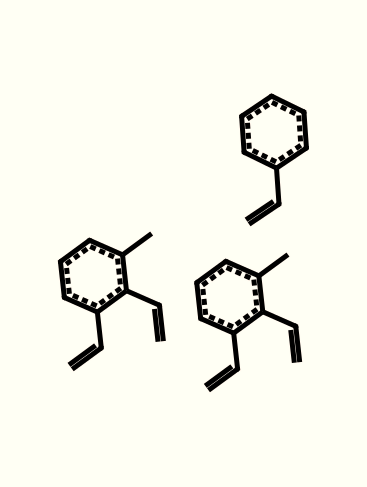 C=Cc1cccc(C)c1C=C.C=Cc1cccc(C)c1C=C.C=Cc1ccccc1